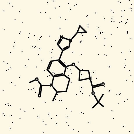 COC(=O)N1c2ccc(-c3cnn(C4CC4)c3)c(OC3CN(C(=O)OC(C)(C)C)C3)c2CCC1C